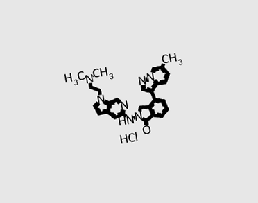 Cc1ccc2c(-c3cccc4c3CN(Nc3cc5ccn(CCN(C)C)c5cn3)C4=O)cnn2c1.Cl